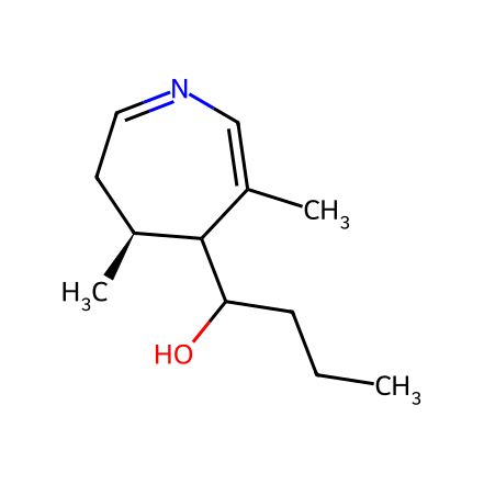 CCCC(O)C1C(C)=CN=CC[C@@H]1C